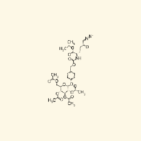 CC(=O)OC[C@H]1O[C@@H](Oc2ccc(COC(=O)N[C@@H](CCC(=O)C=[N+]=[N-])C(=O)OC(C)C)cc2)[C@H](OC(C)=O)[C@@H](OC(C)=O)[C@@H]1OC(C)=O